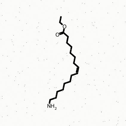 CCOC(=O)CCCCCC/C=C\CCCCCCCN